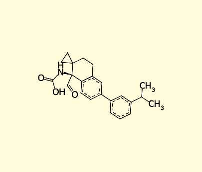 CC(C)c1cccc(-c2ccc3c(c2)CCC2(CC2)[C@]3(C=O)NC(=O)O)c1